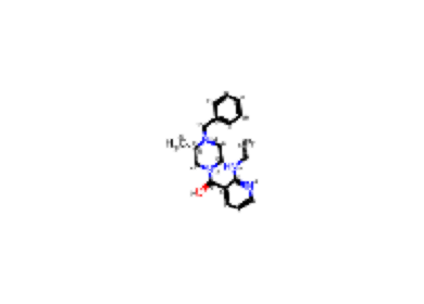 CC(C)CNc1ncccc1C(=O)N1CCN(Cc2ccccc2)[C@@H](C)C1